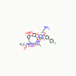 C[C@@H]1NC(=O)[C@@H](N(C)C(=O)[C@H](CCCCN)NC(=O)c2ccc(-c3ccc(Cl)cc3)cc2)c2ccc(O)c(c2)-c2cc(ccc2O)C[C@@H](C(=O)N[C@@H](C)C=O)NC1=O